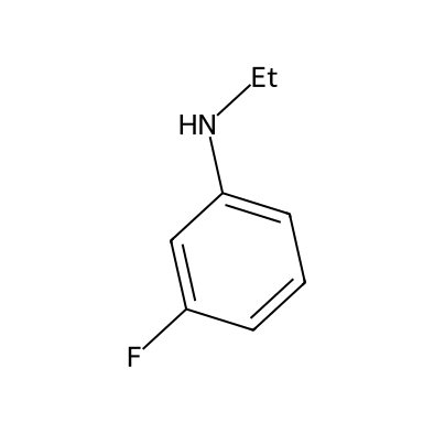 CCNc1cccc(F)c1